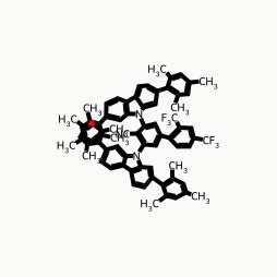 Cc1cc(C)c(-c2ccc3c4ccc(-c5c(C)cc(C)cc5C)cc4n(-c4cc(-c5ccc(C(F)(F)F)cc5C(F)(F)F)cc(-n5c6cc(-c7c(C)cc(C)cc7C)ccc6c6ccc(-c7c(C)cc(C)cc7C)cc65)c4C#N)c3c2)c(C)c1